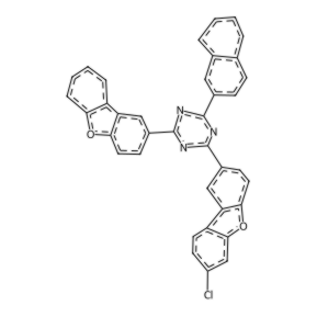 Clc1ccc2c(c1)oc1ccc(-c3nc(-c4ccc5ccccc5c4)nc(-c4ccc5oc6ccccc6c5c4)n3)cc12